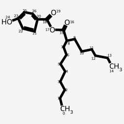 CCCCCCCCC(CCCCCC)C(=O)OC(=O)c1ccc(O)cc1